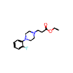 CCOC(=O)CCN1CCN(c2ccccc2F)CC1